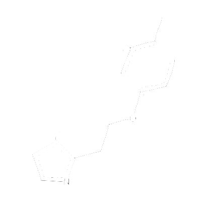 Cc1ccc(OCCc2n[c]cs2)cc1C